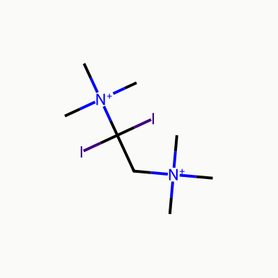 C[N+](C)(C)CC(I)(I)[N+](C)(C)C